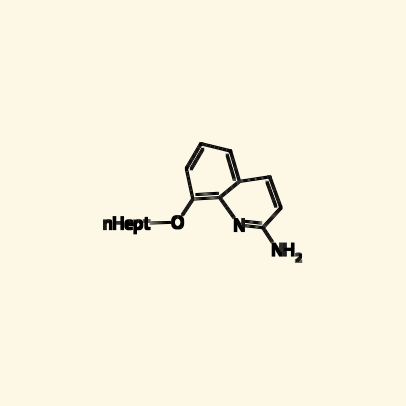 CCCCCCCOc1cccc2ccc(N)nc12